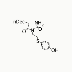 CCCCCCCCCCCC(=O)N(CCSc1ccc(O)cc1)C(N)=O